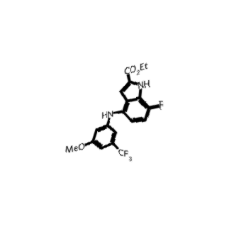 CCOC(=O)c1cc2c(Nc3cc(OC)cc(C(F)(F)F)c3)ccc(F)c2[nH]1